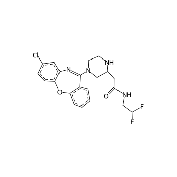 O=C(CC1CN(C2=Nc3cc(Cl)ccc3Oc3ccccc32)CCN1)NCC(F)F